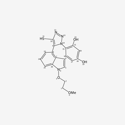 COCCOn1ccc2c(-c3c(S)nnn3-c3ccc(O)cc3O)cccc21